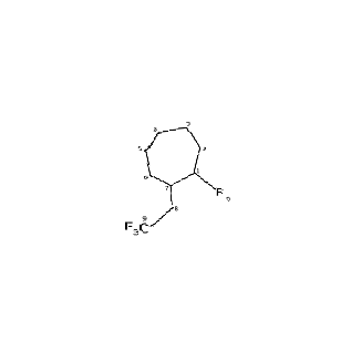 FC1CCCCCC1CC(F)(F)F